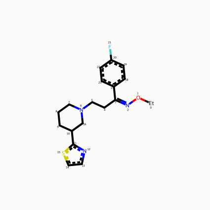 CCO/N=C(/CCN1CCCC(c2nccs2)C1)c1ccc(F)cc1